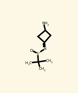 CC(C)(C)[S+]([O-])N=C1CC(N)C1